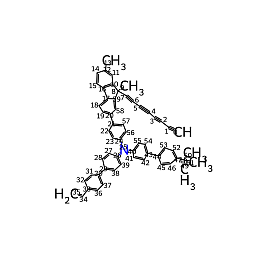 C#CC#CC#CC#CC1(C)c2cc(C)ccc2-c2ccc(-c3ccc(N(c4ccc(-c5ccc(C=C)cc5)cc4)c4ccc(-c5ccc(C(C)(C)C)cc5)cc4)cc3)cc21